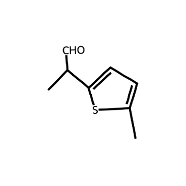 Cc1ccc(C(C)C=O)s1